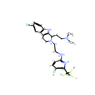 CN(C)CCC1c2[nH]c3ccc(Cl)cc3c2CCN1CCNc1ccc(Cl)c(C(F)(F)F)n1